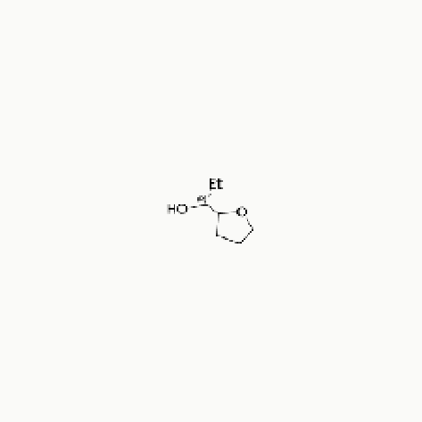 CC[C@@H](O)C1CCCO1